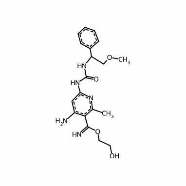 COCC(NC(=O)Nc1cc(N)c(C(=N)OCCO)c(C)n1)c1ccccc1